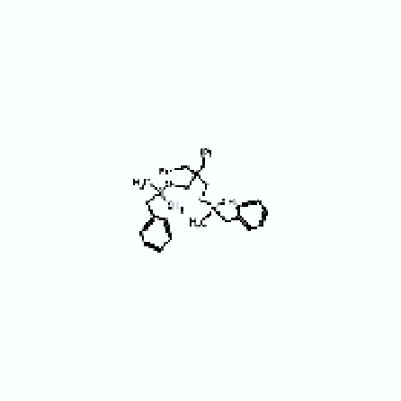 CC(C)CC(CO[Si](C)(C)Cc1ccccc1)(CO[Si](C)(C)Cc1ccccc1)CC(C)C